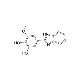 COc1cc(-c2nc3ccccc3[nH]2)cc(O)c1O